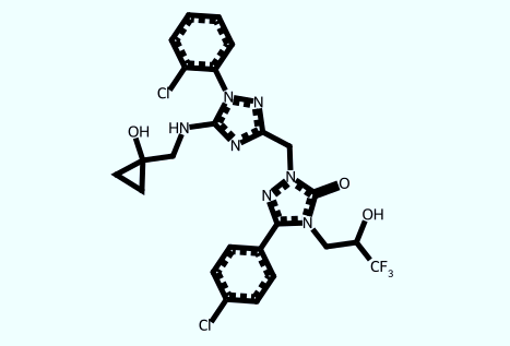 O=c1n(Cc2nc(NCC3(O)CC3)n(-c3ccccc3Cl)n2)nc(-c2ccc(Cl)cc2)n1CC(O)C(F)(F)F